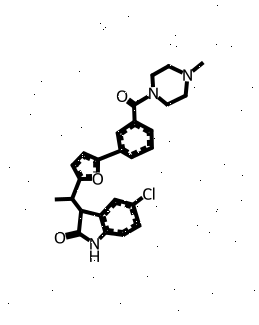 CC(c1ccc(-c2cccc(C(=O)N3CCN(C)CC3)c2)o1)C1C(=O)Nc2ccc(Cl)cc21